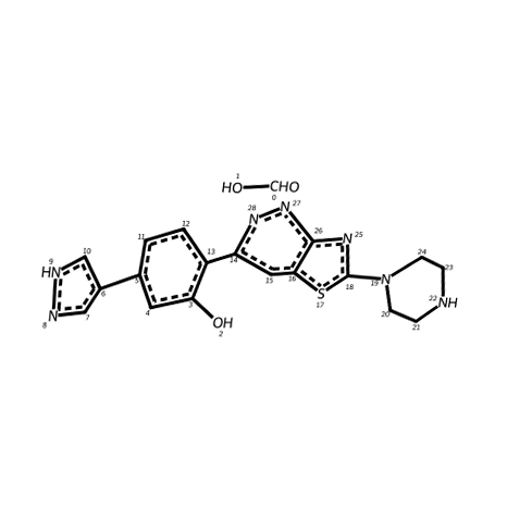 O=CO.Oc1cc(-c2cn[nH]c2)ccc1-c1cc2sc(N3CCNCC3)nc2nn1